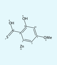 COc1ccc(C(O)=S)c(O)c1.[Zn]